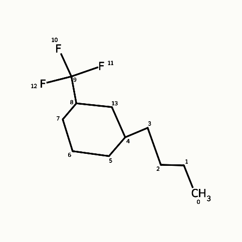 CCCCC1CCCC(C(F)(F)F)C1